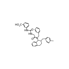 Cc1ccc(CC2CCc3ccccc3C2N(Cc2ccccc2)C(=O)CNC(=O)Nc2cccc(C(=O)O)c2)cc1